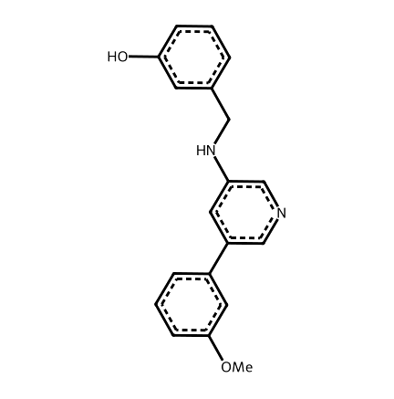 COc1cccc(-c2cncc(NCc3cccc(O)c3)c2)c1